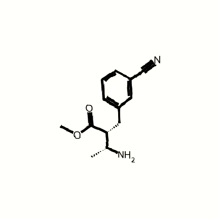 COC(=O)[C@H](Cc1cccc(C#N)c1)[C@@H](C)N